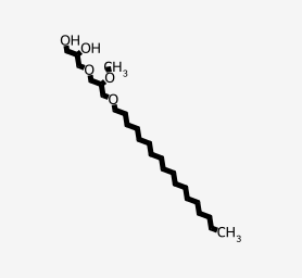 CCCCCCCCCCCCCCCCCCOCC(COCC(O)CO)OC